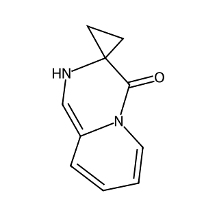 O=C1N2C=CC=CC2=CNC12CC2